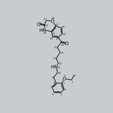 CCOc1ccccc1CCNCCCCC(=O)c1ccc2c(c1)NC(=O)CO2